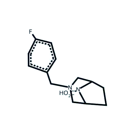 O=C(O)N1C2CCC1CN(Cc1ccc(F)cc1)C2